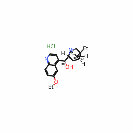 CCOc1ccc2nccc([C@@H](O)[C@@H]3C[C@@H]4CC[N@@]3C[C@@H]4CC)c2c1.Cl